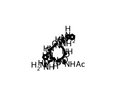 CC(=O)NCC(=O)N[C@H]1CCC(=O)NCC[C@@H](C(=O)N[C@@H](Cc2c[nH]c3ccccc23)C(N)=O)NC(=O)CNC(=O)[C@@H](Cc2ccccc2)NC(=O)[C@H](CCCNC(=N)N)NC1=O